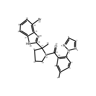 Cc1ccc(-n2nccn2)c(C(=O)N2CCCC2(C)c2nc3c(Br)cccc3[nH]2)c1